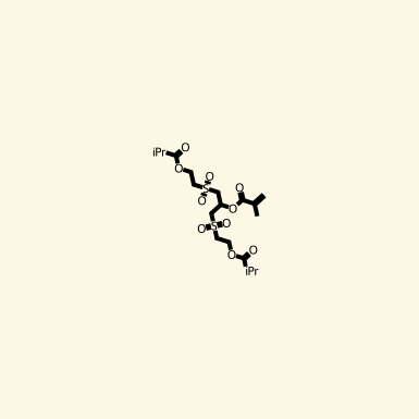 C=C(C)C(=O)OC(CS(=O)(=O)CCOC(=O)C(C)C)CS(=O)(=O)CCOC(=O)C(C)C